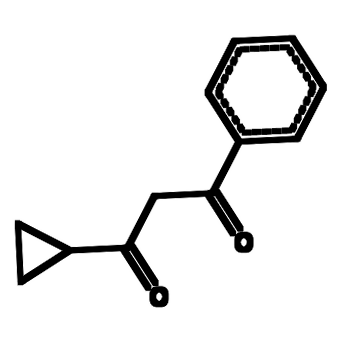 O=C(CC(=O)C1CC1)c1ccccc1